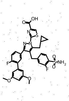 COc1cc(OC)cc(-c2cc(-c3nn(-c4nc(C(=O)O)cs4)c(CC4CC4)c3Cc3ccc(S(N)(=O)=O)c(F)c3)ccc2F)c1